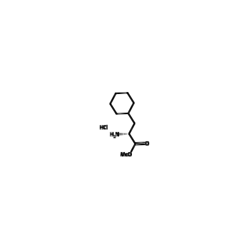 COC(=O)[C@H](N)CC1CCCCC1.Cl